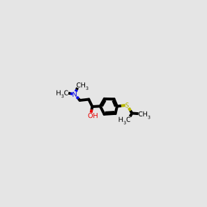 CC(C)Sc1ccc(C(O)CCN(C)C)cc1